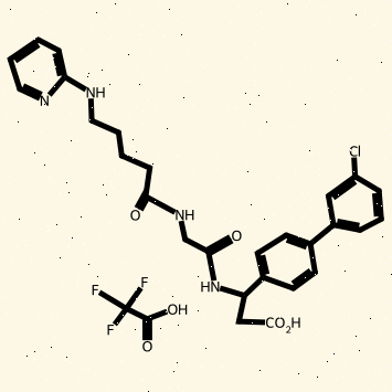 O=C(O)C(F)(F)F.O=C(O)CC(NC(=O)CNC(=O)CCCCNc1ccccn1)c1ccc(-c2cccc(Cl)c2)cc1